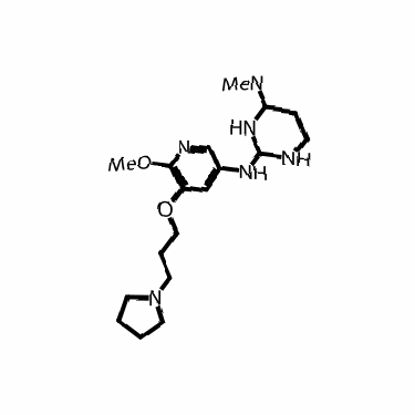 CNC1CCNC(Nc2cnc(OC)c(OCCCN3CCCC3)c2)N1